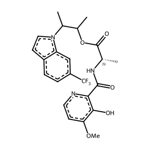 COc1ccnc(C(=O)N[C@@H](C)C(=O)OC(C)C(C)n2ccc3ccc(C(F)(F)F)cc32)c1O